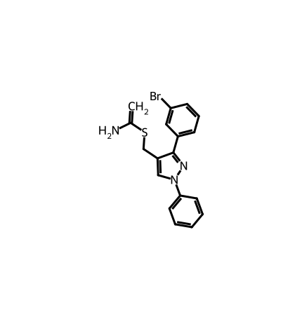 C=C(N)SCc1cn(-c2ccccc2)nc1-c1cccc(Br)c1